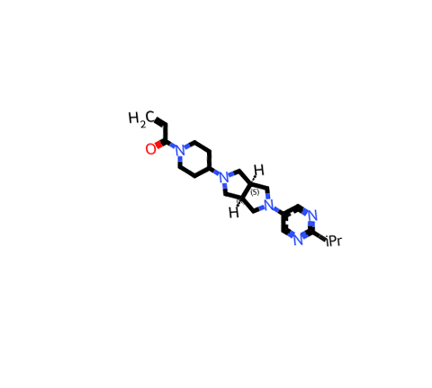 C=CC(=O)N1CCC(N2C[C@H]3CN(c4cnc(C(C)C)nc4)C[C@H]3C2)CC1